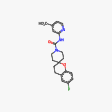 O=C(O)c1ccnc(NC(=O)N2CCC3(CCc4cc(F)ccc4O3)CC2)c1